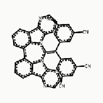 N#Cc1cc(C#N)cc(C(c2cc(C#N)cc(C#N)c2)=c2n3c4nccnc4c4cccc(c5cccc6c7nccnc7n2c56)c43)c1